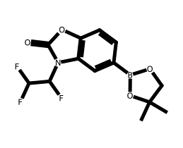 CC1(C)COB(c2ccc3oc(=O)n(C(F)C(F)F)c3c2)O1